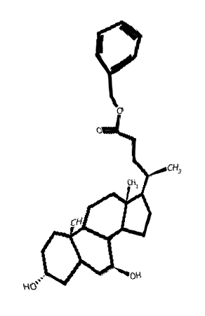 C[C@H](CCC(=O)OCc1ccccc1)C1CCC2C3C(CC[C@@]21C)[C@@]1(C)CC[C@@H](O)CC1C[C@@H]3O